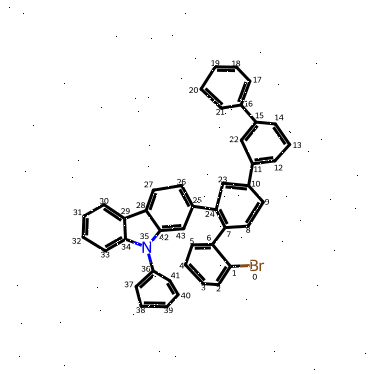 Brc1ccccc1-c1ccc(-c2cccc(-c3ccccc3)c2)cc1-c1ccc2c3ccccc3n(-c3ccccc3)c2c1